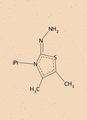 Cc1sc(=NN)n(C(C)C)c1C